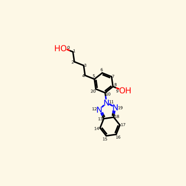 OCCCCc1ccc(O)c(-n2nc3ccccc3n2)c1